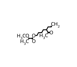 C=CCC(CCCCOC(=O)C(C)OC)C(C)=O